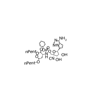 CCCCCOC(=O)C[C@H](NP(=O)(OC[C@@]1(C#N)O[C@@H](c2ccc3c(N)ncnn23)[C@H](O)[C@@H]1O)Oc1ccccc1)C(=O)OCCCCC